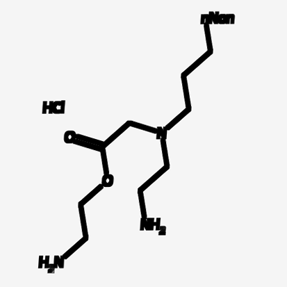 CCCCCCCCCCCCN(CCN)CC(=O)OCCN.Cl